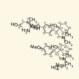 CN(CC(=O)O)C(=N)N.COc1ccc(C(CN(C)C)C2(O)CCCCC2)cc1.COc1ccc(C(CN(C)C)C2(O)CCCCC2)cc1.Cl.[MgH2]